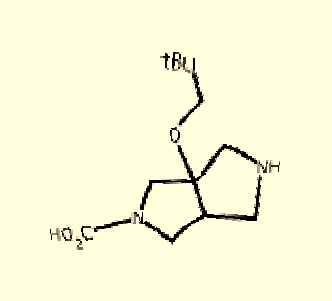 CC(C)(C)COC12CNCC1CN(C(=O)O)C2